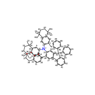 Cc1cc2c(cc1N(c1cc3c(cc1C)C(C)(C)CCC3(C)C)c1cc3c(cc1-c1ccc4c(c1)CCCC4)-c1ccccc1C3(c1ccccc1)c1ccccc1)C(C)(C)CCC2(C)C